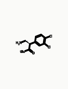 CC(C)(C)C(=O)[C@H](CN)c1ccc(Cl)c(Cl)c1